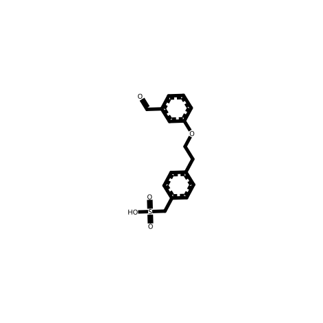 O=Cc1cccc(OCCc2ccc(CS(=O)(=O)O)cc2)c1